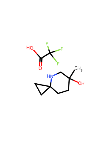 CC1(O)CCC2(CC2)NC1.O=C(O)C(F)(F)F